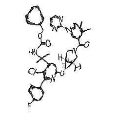 Cc1nn(-c2ncccn2)cc1C(=O)N1C[C@@H]2[C@H](C1)[C@H]2Oc1cc(C(C)(C)NC(=O)OCc2ccccc2)c(Cl)c(-c2ccc(F)cc2)n1